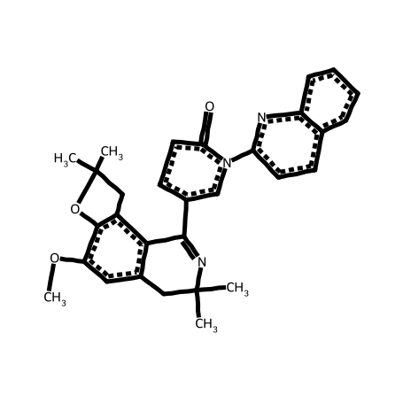 COc1cc2c(c3c1OC(C)(C)C3)C(c1ccc(=O)n(-c3ccc4ccccc4n3)c1)=NC(C)(C)C2